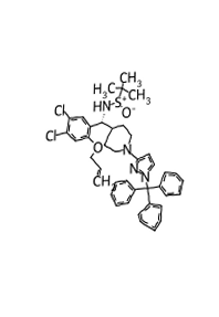 C=CCOc1cc(Cl)c(Cl)cc1[C@H](N[S+]([O-])C(C)(C)C)C1CCN(c2ccn(C(c3ccccc3)(c3ccccc3)c3ccccc3)n2)CC1